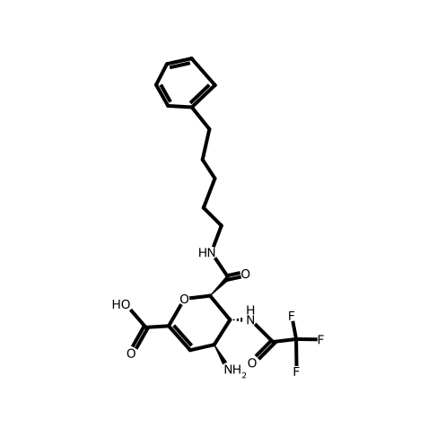 N[C@H]1C=C(C(=O)O)O[C@@H](C(=O)NCCCCCc2ccccc2)[C@@H]1NC(=O)C(F)(F)F